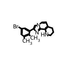 Cc1cc(Br)cc(-c2cn3ccc4c(c3n2)NCCC4)c1C